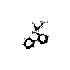 CC(C)(C)OC(=O)Nc1ccccc1-c1ccccc1